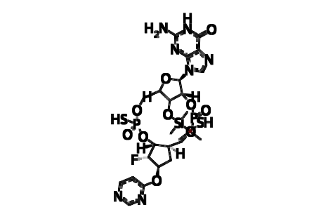 CC(C)(C)[Si](C)(C)OC1[C@H]2OP(=O)(S)OC[C@H]3C[C@@H](Oc4ccncn4)[C@H](F)[C@@H]3OP(=O)(S)OC[C@H]1O[C@H]2n1cnc2c(=O)[nH]c(N)nc21